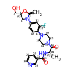 C=C1O[C@@H](CO)CN1c1ccc(N2CCN(C(=O)[C@H](C)NC(=O)c3cccnc3)CC2)c(F)c1